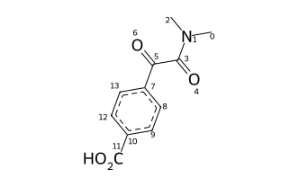 CN(C)C(=O)C(=O)c1ccc(C(=O)O)cc1